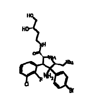 CC(C)(C)C[C@@H]1N[C@@H](C(=O)NCC[C@H](O)CO)[C@H](c2cccc(Cl)c2F)[C@@]1(N)c1ccc(Br)cc1